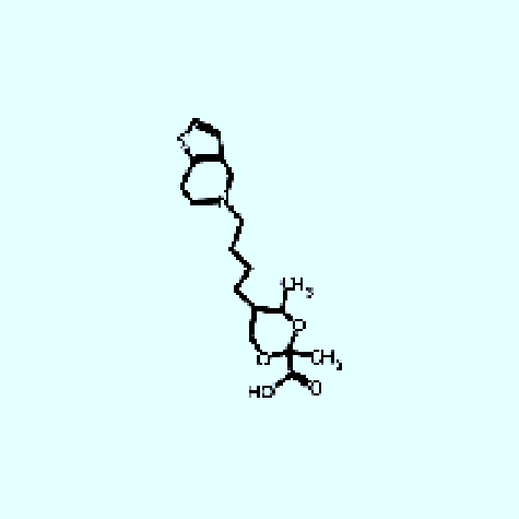 CC1OC(C)(C(=O)O)OCC1CCCCN1CCc2sccc2C1